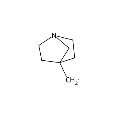 [CH2]C12CCN(CC1)C2